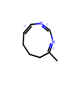 C/C1=N/C=N\C=C/CCC1